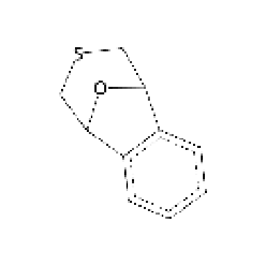 c1ccc2c(c1)C1CSCC2O1